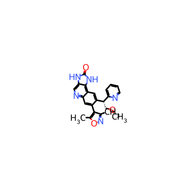 COC[C@@H](c1ccccn1)c1cc2c(cc1-c1c(C)noc1C)ncc1[nH]c(=O)[nH]c12